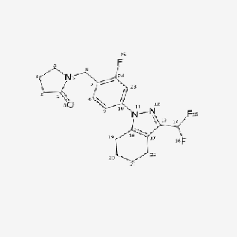 O=C1CCCN1Cc1ccc(-n2nc(C(F)F)c3c2CCCC3)cc1F